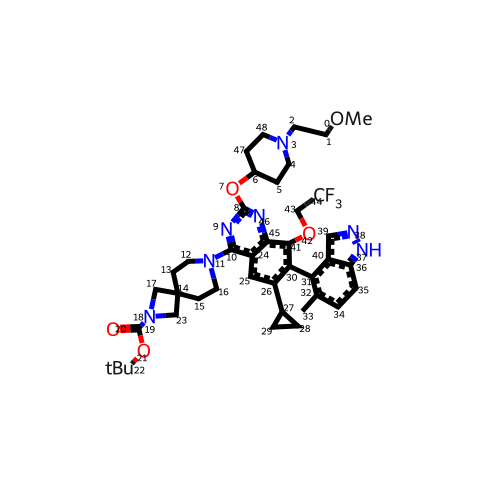 COCCN1CCC(Oc2nc(N3CCC4(CC3)CN(C(=O)OC(C)(C)C)C4)c3cc(C4CC4)c(-c4c(C)ccc5[nH]ncc45)c(OCC(F)(F)F)c3n2)CC1